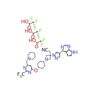 N#CCC1(n2cc(-c3ncnc4[nH]ccc34)cn2)CN([C@H]2CC[C@@H](Oc3cc(CN4CCCCC4)nc(C(F)(F)F)n3)CC2)C1.O=C(O)C(F)(F)F.O=C(O)C(F)(F)F.O=C(O)C(F)(F)F